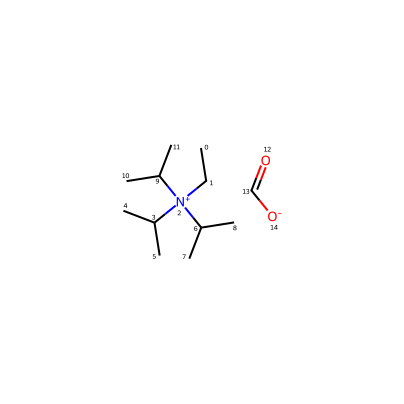 CC[N+](C(C)C)(C(C)C)C(C)C.O=C[O-]